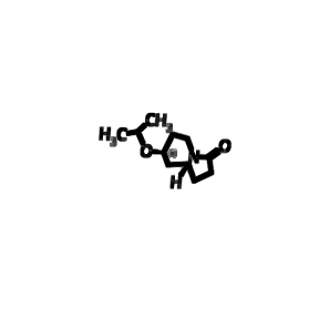 CC(C)O[C@H]1CCN2C(=O)CC[C@@H]2C1